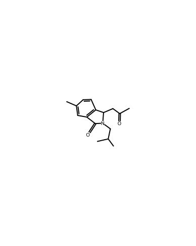 CC(=O)CC1c2ccc(C)cc2C(=O)N1CC(C)C